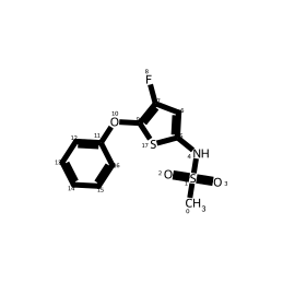 CS(=O)(=O)Nc1cc(F)c(Oc2ccccc2)s1